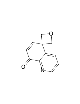 O=C1C=CC2(COC2)c2cccnc21